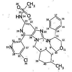 CC1CCC(Cn2c(N3CCOC[C@H]3c3ccccc3)nc3cc(NS(C)(=O)=O)nc(-c4cncc(Cl)c4)c32)CC1